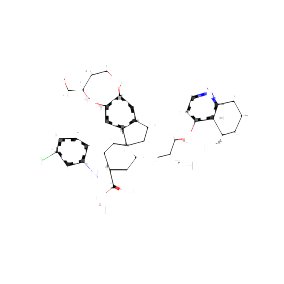 COC(=O)[C@]1(Nc2cccc(Cl)c2)CC[C@@]2(CC1)c1cc3c(cc1C[C@@H]2C[C@@H](C)COc1ccnc2c1[C@H](C)CCC2)OCC[C@H](CO)O3